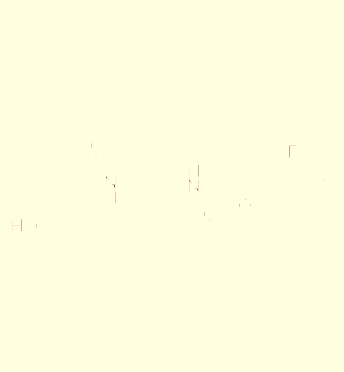 O=C(COc1ccc(Cl)c(F)c1)NCCCCNC(=O)c1cccc(CO)c1